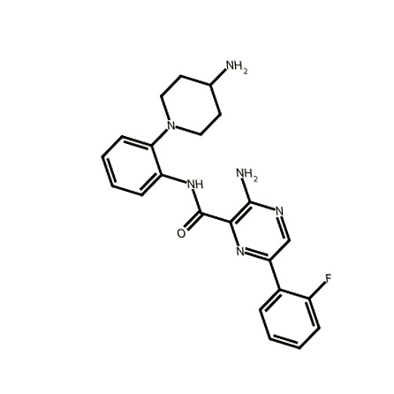 Nc1ncc(-c2ccccc2F)nc1C(=O)Nc1ccccc1N1CCC(N)CC1